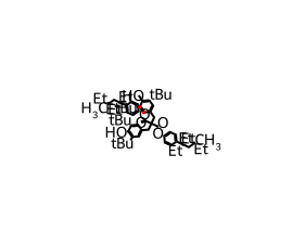 CCC(C)(CC)CC(CC)(CC)c1ccc(OC(=O)C(Cc2cc(C(C)(C)C)c(O)c(C(C)(C)C)c2)(Cc2cc(C(C)(C)C)c(O)c(C(C)(C)C)c2)C(=O)Oc2ccc(C(CC)(CC)CC(C)(CC)CC)cc2)cc1